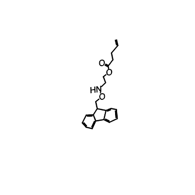 C=CCCC(=O)OCCNOCC1c2ccccc2-c2ccccc21